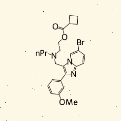 CCCN(CCOC(=O)C1CCC1)Cc1c(-c2cccc(OC)c2)nc2ccc(Br)cn12